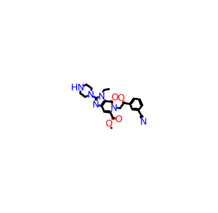 CCn1c(N2CCNCC2)nc2cc(C(=O)OC)n(CC(=O)c3cccc(C#N)c3)c(=O)c21